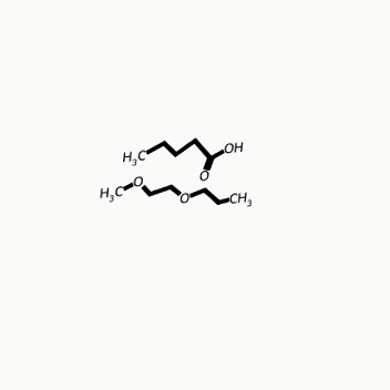 CCCCC(=O)O.CCCOCCOC